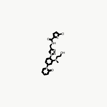 CN(CCO)c1cc(-n2ccccc2=O)ccc1-n1cc(CNC(=O)c2ccc(Cl)s2)nn1